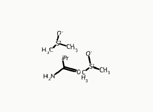 CC(C)C(N)=O.C[S+](C)[O-].C[S+](C)[O-]